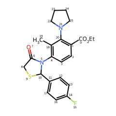 CCOC(=O)c1ccc(N2C(=O)CSC2c2ccc(F)cc2)c(C)c1N1CCCC1